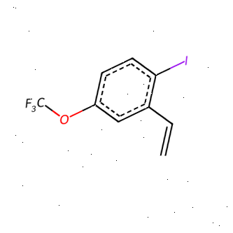 C=Cc1cc(OC(F)(F)F)ccc1I